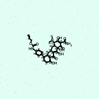 C=CCOC(=O)Nc1ccc(-c2ccc(O)c3c2CC2CC4C(N(C)C)C(O)=C(C(N)=O)C(=O)C4(O)C(O)=C2C3=O)cc1